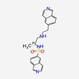 C[C@H](CNCCc1ccc2cnccc2c1)NS(=O)(=O)c1ccc2cnccc2c1